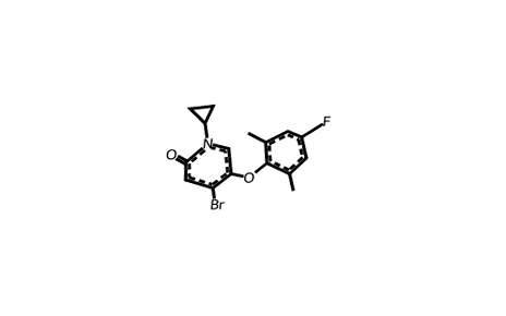 Cc1cc(F)cc(C)c1Oc1cn(C2CC2)c(=O)cc1Br